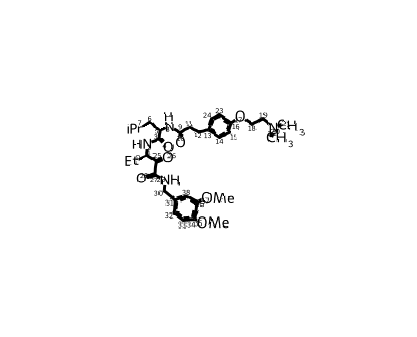 CCC(NC(=O)C(CC(C)C)NC(=O)CCc1ccc(OCCN(C)C)cc1)C(=O)C(=O)NCc1ccc(OC)c(OC)c1